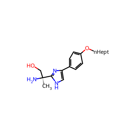 CCCCCCCOc1ccc(-c2c[nH]c([C@@](C)(N)CO)n2)cc1